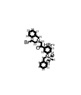 Br.CS(=O)(=O)N(Cc1ccccc1)c1cccc(C(=O)CN(CCBr)Cc2ccccc2)c1